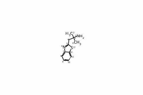 CC(C)(N)Cc1nc2ccccc2s1